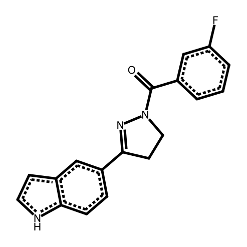 O=C(c1cccc(F)c1)N1CCC(c2ccc3[nH]ccc3c2)=N1